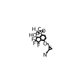 CS(=O)(=O)c1ccc(OC[C@H]2CC2C#N)c2c1[C@H](O)C(F)(F)[C@@H]2F